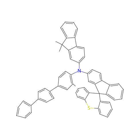 Cc1cc(-c2ccc(-c3ccccc3)cc2)ccc1N(c1ccc2c(c1)C(C)(C)c1ccccc1-2)c1ccc2c(c1)C1(c3ccccc3Sc3ccccc31)c1ccccc1-2